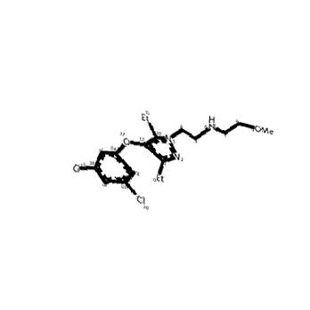 CCc1nn(CCNCCOC)c(CC)c1Oc1cc(Cl)cc(Cl)c1